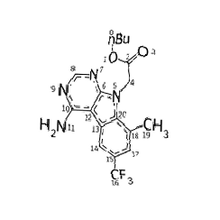 CCCCOC(=O)Cn1c2ncnc(N)c2c2cc(C(F)(F)F)cc(C)c21